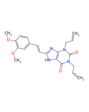 C=CCn1c(=O)c2[nH]c(C=Cc3ccc(OC)c(OC)c3)nc2n(CC=C)c1=O